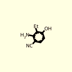 CCc1c(O)ccc(C#N)c1N